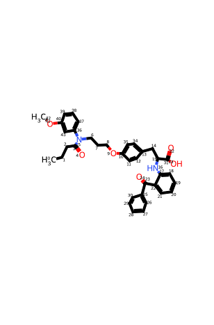 CCCC(=O)N(CCCOc1ccc(CC(Nc2ccccc2C(=O)c2ccccc2)C(=O)O)cc1)c1cccc(OC)c1